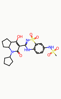 CS(=O)(=O)Nc1ccc2c(c1)S(=O)(=O)N=C(C1=C(O)C3CCCC3N(C3CCCC3)C1=O)N2